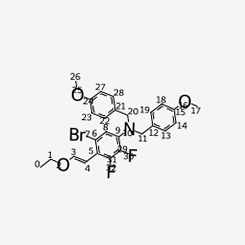 CCOC=Cc1c(Br)cc(N(Cc2ccc(OC)cc2)Cc2ccc(OC)cc2)c(F)c1F